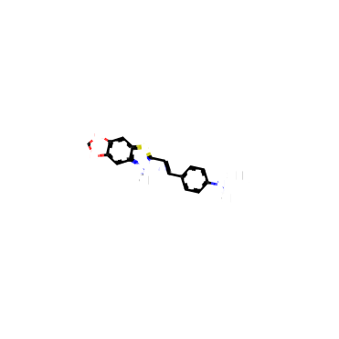 CN(C)c1ccc(/C=C/c2sc3cc4c(cc3[n+]2C)OCO4)cc1